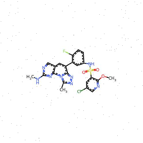 CNc1ncc2cc(-c3cc(NS(=O)(=O)c4cc(Cl)cnc4OC)ccc3F)c3nnc(C)n3c2n1